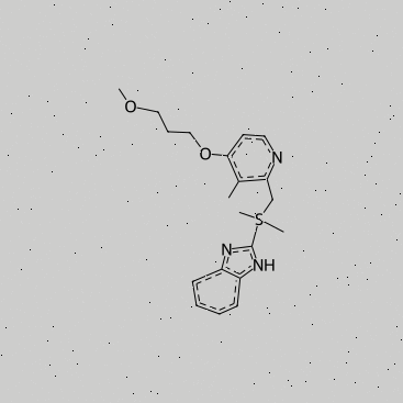 COCCCOc1ccnc(CS(C)(C)c2nc3ccccc3[nH]2)c1C